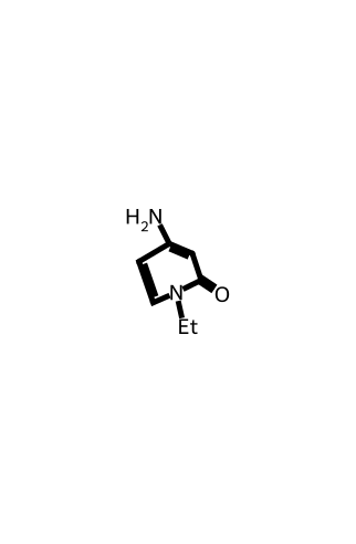 CCn1ccc(N)cc1=O